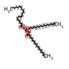 CCCCC/C=C\C/C=C\C/C=C\C/C=C\CCCC(=O)OC[C@@H](COC(=O)CCCCCCCCCCCCCCC)OC(=O)CCCCCCCCCCCCCCCC